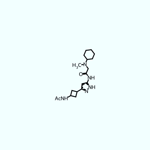 CC(=O)NC1CC(c2cc(NC(=O)CN(C)C3CCCCC3)[nH]n2)C1